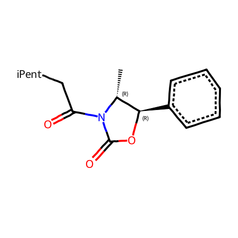 CCCC(C)CC(=O)N1C(=O)O[C@H](c2ccccc2)[C@H]1C